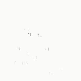 Cc1ccc(S(=O)(=O)n2cc(-c3ncc(F)c(NC4(O)CCCC(CC(O)CO)C4)n3)c3cc(Cl)cnc32)cc1